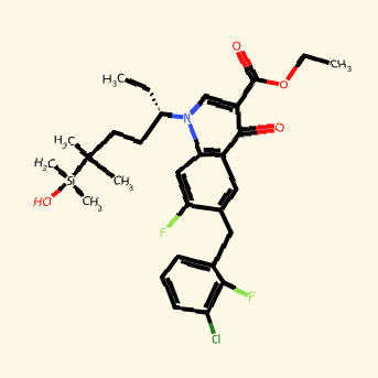 CCOC(=O)c1cn([C@@H](CC)CCC(C)(C)[Si](C)(C)O)c2cc(F)c(Cc3cccc(Cl)c3F)cc2c1=O